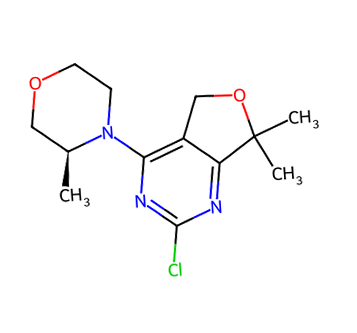 C[C@H]1COCCN1c1nc(Cl)nc2c1COC2(C)C